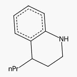 [CH2]CCC1CCNc2ccccc21